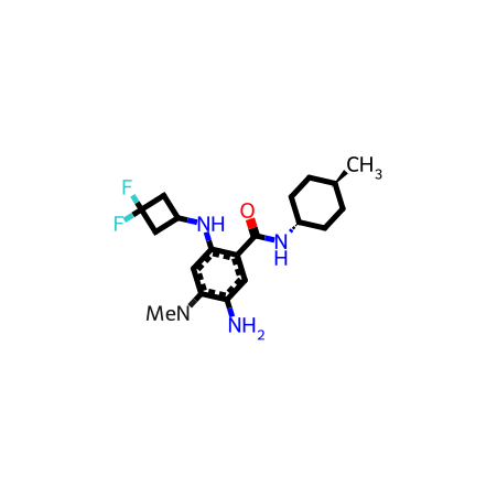 CNc1cc(NC2CC(F)(F)C2)c(C(=O)N[C@H]2CC[C@H](C)CC2)cc1N